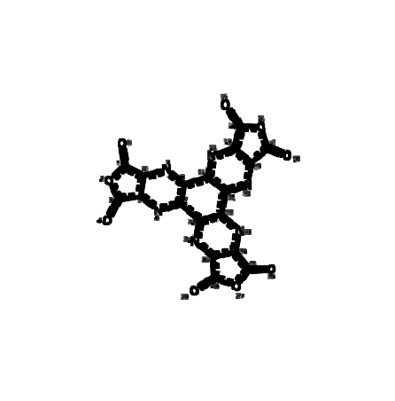 O=c1oc(=O)c2nc3c(nc12)c1nc2c(=O)oc(=O)c2nc1c1nc2c(=O)oc(=O)c2nc31